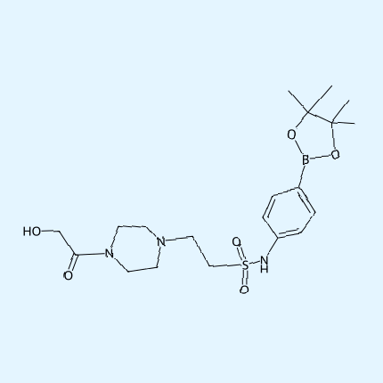 CC1(C)OB(c2ccc(NS(=O)(=O)CCN3CCN(C(=O)CO)CC3)cc2)OC1(C)C